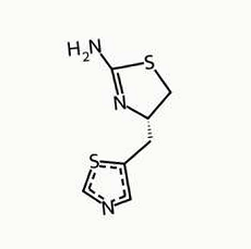 NC1=N[C@@H](Cc2cncs2)CS1